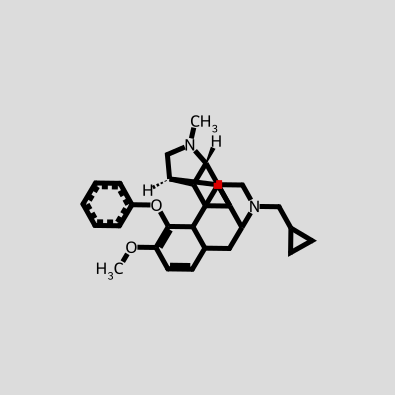 COC1=C(Oc2ccccc2)C2C(C=C1)CC1N(CC3CC3)CCC23C2[C@H]4CN(C)[C@@H]2CCC13C4